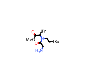 COC(=O)C(C(C)C)N(CCC(C)(C)C)C(=O)CN